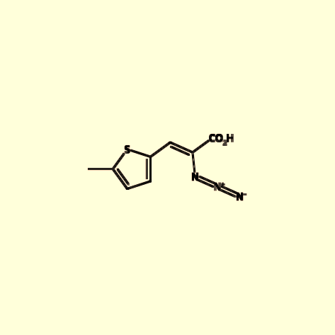 Cc1ccc(C=C(N=[N+]=[N-])C(=O)O)s1